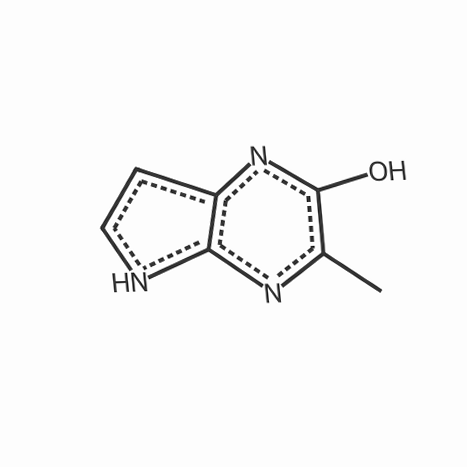 Cc1nc2[nH]ccc2nc1O